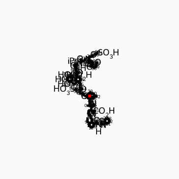 Cc1c(-c2ccc(N3CCc4cccc(C(=O)Nc5nc6ccccc6s5)c4C3)nc2C(=O)O)cnn1CC12CC3(C)CC(C)(C1)CC(OCCN(CCS(=O)(=O)O)C(=O)OCc1ccc(NC(=O)[C@H](C)NC(=O)[C@@H](NC(=O)CCN(CCOCCS(=O)(=O)O)C(=O)CN4C(=O)C=CC4=O)C(C)C)cc1CC[C@@H]1O[C@H](C(=O)O)[C@H](O)[C@@H](O)[C@H]1O)(C3)C2